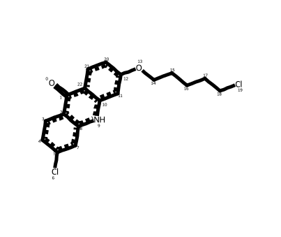 O=c1c2ccc(Cl)cc2[nH]c2cc(OCCCCCCl)ccc12